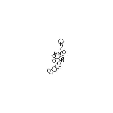 COC(=O)c1c(OCc2cc3c(cc2F)CCO3)nsc1NC(=O)CCN1CCCCC1